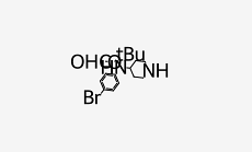 Brc1ccc(NC2CCNCC2)cc1.CC(C)(C)OC=O